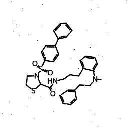 CN(CCc1ccccc1)c1ccccc1CCCNC(=O)C1SCCN1S(=O)(=O)c1ccc(-c2ccccc2)cc1